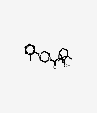 Cc1ccccc1N1CCN(C(=O)C2C3CCC(C)(C2O)C3(C)C)CC1